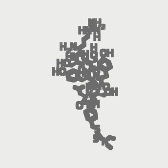 CCN(CC)C1SC1SCc1ccc(NC(=O)[C@@H](CC(C)C)NC(=O)[C@@H](CO)NC(=O)C(Cc2ccc(O)cc2)NC(=O)[C@@H](Cc2ccc(O)cc2)NC(=O)[C@@H](CO)NC(=O)[C@@H](CO)NC(=O)[C@H](N)CCCNC(=N)N)cc1